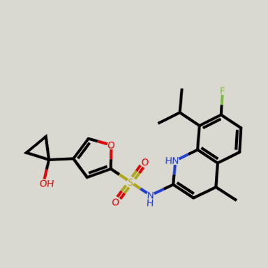 CC(C)c1c(F)ccc2c1NC(NS(=O)(=O)c1cc(C3(O)CC3)co1)=CC2C